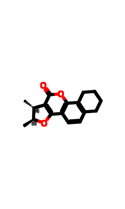 C[C@@H]1Oc2c(c(=O)oc3c4c(ccc23)CCCC4)[C@H]1C